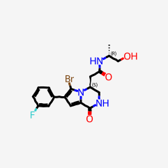 C[C@H](CO)NC(=O)C[C@H]1CNC(=O)c2cc(-c3cccc(F)c3)c(Br)n21